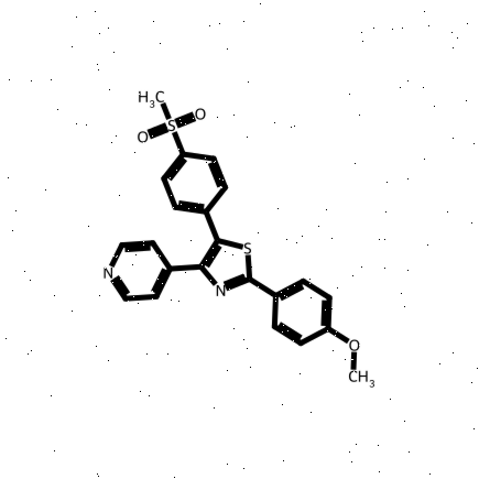 COc1ccc(-c2nc(-c3ccncc3)c(-c3ccc(S(C)(=O)=O)cc3)s2)cc1